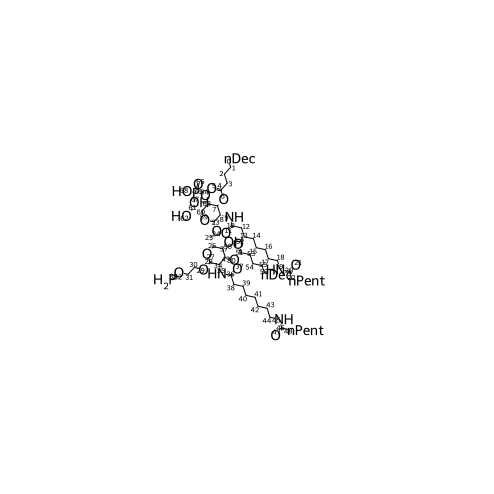 CCCCCCCCCCCCCC(=O)O[C@@H]1[C@H](NC(=O)CCCCCCCNC(=O)CCCCC)[C@H](OC[C@H]2O[C@H](OCCOP)[C@@H](NC(=O)CCCCCCCNC(=O)CCCCC)[C@@H](OC(=O)CCCCCCCCCCCCC)[C@@H]2O)O[C@H](CO)[C@H]1OP(=O)(O)O